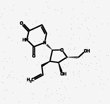 C=CC[C@@H]1[C@H](O)[C@@H](CO)O[C@H]1n1ccc(=O)[nH]c1=O